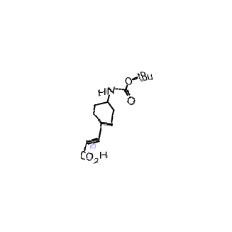 CC(C)(C)OC(=O)NC1CCC(/C=C/C(=O)O)CC1